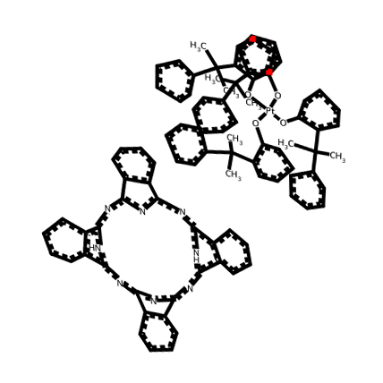 CC(C)(c1ccccc1)c1ccccc1[O][Pt]([O]c1ccccc1C(C)(C)c1ccccc1)([O]c1ccccc1C(C)(C)c1ccccc1)[O]c1ccccc1C(C)(C)c1ccccc1.c1ccc2c(c1)-c1nc-2nc2[nH]c(nc3nc(nc4[nH]c(n1)c1ccccc41)-c1ccccc1-3)c1ccccc21